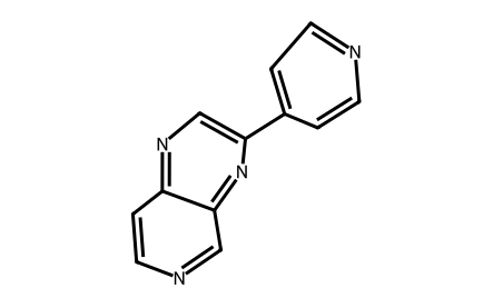 c1cc(-c2cnc3ccncc3n2)ccn1